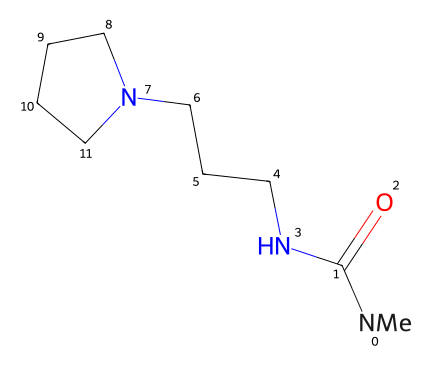 CNC(=O)NCCCN1CCCC1